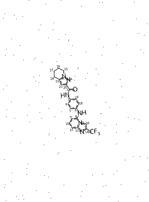 O=C(Nc1ccc(Nc2cccc3nc(C(F)(F)F)cn23)cc1)c1cc2n(n1)CCCC2